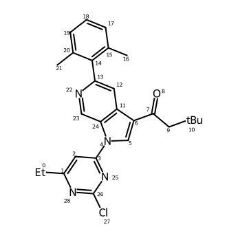 CCc1cc(-n2cc(C(=O)CC(C)(C)C)c3cc(-c4c(C)cccc4C)ncc32)nc(Cl)n1